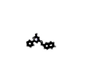 CC(=O)/C=C(\CCc1ccccc1)OCc1ccc2ccccc2c1